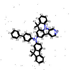 CC1(C)c2ccccc2-c2ccc(N(c3ccc(-c4ccccc4)cc3)c3cc4c5c(c3)c3ccncc3n5-c3ccccc3C4(C)C)cc21